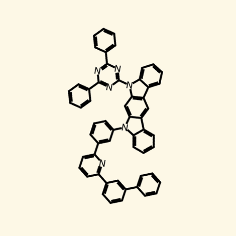 c1ccc(-c2cccc(-c3cccc(-c4cccc(-n5c6ccccc6c6cc7c8ccccc8n(-c8nc(-c9ccccc9)nc(-c9ccccc9)n8)c7cc65)c4)n3)c2)cc1